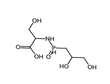 O=C(O)C(CO)N[PH](=O)CC(O)CO